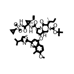 C=C[C@@H]1C[C@]1(NC(=O)[C@@H]1C[C@@H](Oc2cc(-c3nc(C(C)C)cs3)nc3c(C)c(OC)ccc23)[C@H]2CN(C(=O)OC(C)(C)C)C([C@H](C)CC)C(=O)N21)C(=O)NS(=O)(=O)C1CC1